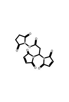 O=C(CC(N1C(=O)C=CC1=O)N1C(=O)C=CC1=O)ON1C(=O)CCC1=O